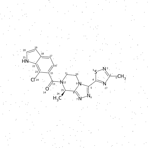 Cc1nsc(-c2nnc3n2CCN(C(=O)c2ccc4cc[nH]c4c2Cl)[C@@H]3C)n1